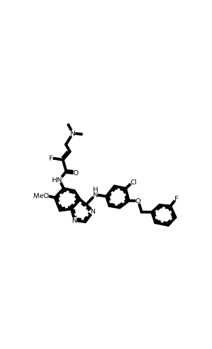 COc1cc2ncnc(Nc3ccc(OCc4cccc(F)c4)c(Cl)c3)c2cc1NC(=O)C(F)=CCN(C)C